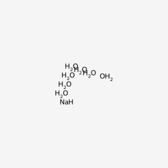 O.O.O.O.O.O.O.[NaH]